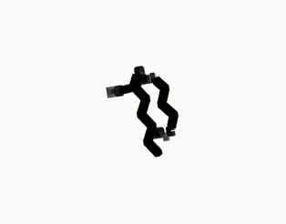 CCCCCC(=O)O.CCCCCCCCCCCC(=O)O